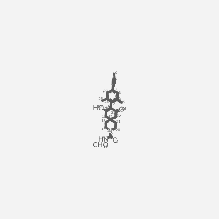 CC#Cc1cc(C)c(C2=C(O)CC3(CCN(C(=O)NC=O)CC3)CC2=O)c(C)c1